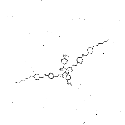 CCCCCCCC1CCC(COc2ccc(/C=C/C(=O)CC(Cc3ccc(N)cc3)(Cc3ccc(N)cc3)C(O)(O)C(=O)/C=C/c3ccc(OCC4CCC(CCCCCCC)CC4)cc3)cc2)CC1